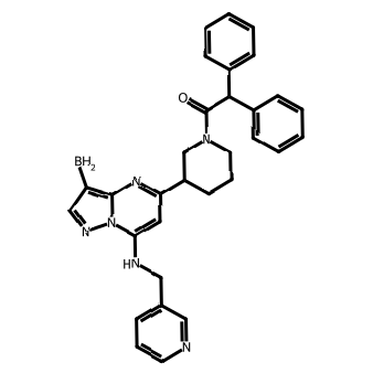 Bc1cnn2c(NCc3cccnc3)cc(C3CCCN(C(=O)C(c4ccccc4)c4ccccc4)C3)nc12